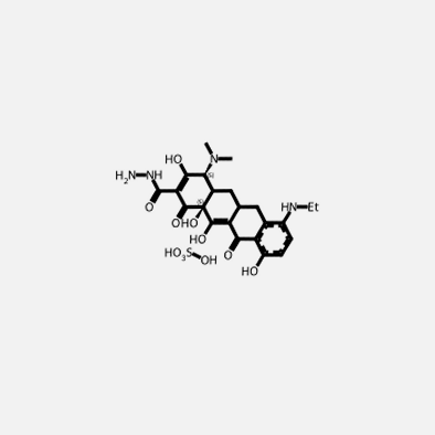 CCNc1ccc(O)c2c1CC1CC3[C@H](N(C)C)C(O)=C(C(=O)NN)C(=O)[C@@]3(O)C(O)=C1C2=O.O=S(=O)(O)O